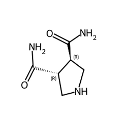 NC(=O)[C@H]1CNC[C@@H]1C(N)=O